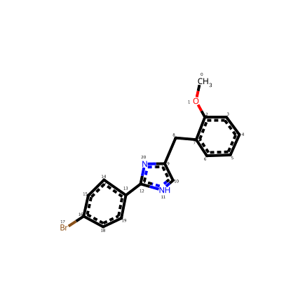 COc1ccccc1Cc1c[nH]c(-c2ccc(Br)cc2)n1